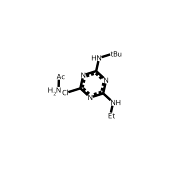 CC(N)=O.CCNc1nc(Cl)nc(NC(C)(C)C)n1